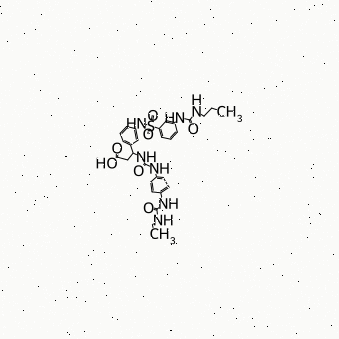 CCCNC(=O)Nc1cccc(S(=O)(=O)Nc2cccc(C(CC(=O)O)NC(=O)Nc3ccc(NC(=O)NCC)cc3)c2)c1